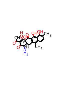 CC(=O)C1=C(O)[C@@]2(O)C(=O)c3c(c(C)c4ccc(C)c(O)c4c3O)C[C@H]2[C@@H](N)C1=O